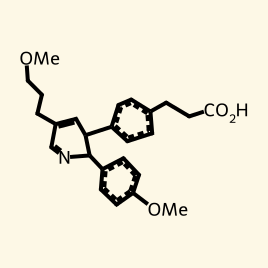 COCCCC1=CC(c2ccc(CCC(=O)O)cc2)C(c2ccc(OC)cc2)N=C1